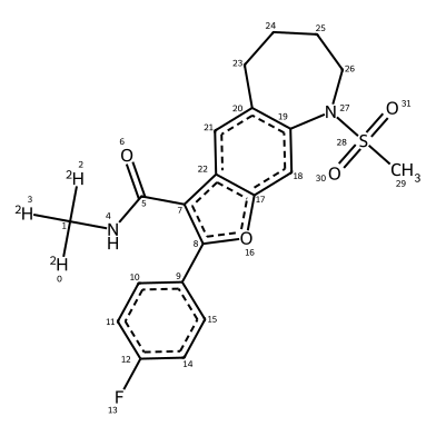 [2H]C([2H])([2H])NC(=O)c1c(-c2ccc(F)cc2)oc2cc3c(cc12)CCCCN3S(C)(=O)=O